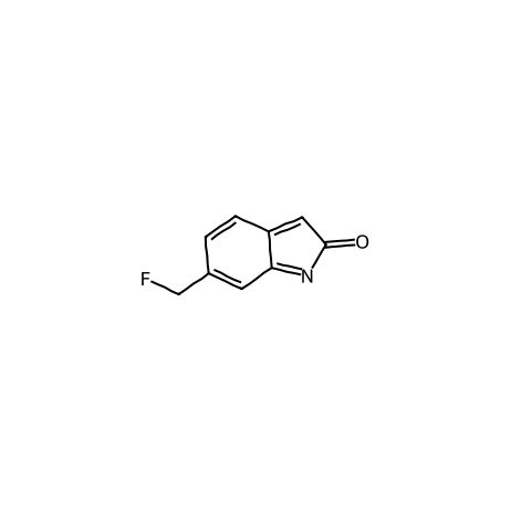 O=C1C=c2ccc(CF)cc2=N1